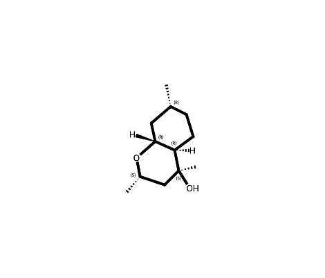 C[C@@H]1CC[C@@H]2[C@@H](C1)O[C@@H](C)C[C@]2(C)O